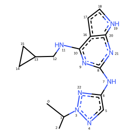 CC(C)n1ncc(Nc2nc(NCC3CC3)c3cc[nH]c3n2)n1